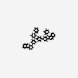 c1ccc(-c2cccc(N(c3ccc(-c4ccc5c6ccc7ccccc7c6n(-c6ccccc6)c5c4)cc3)c3ccc(-c4cccc5c4oc4ccccc45)cc3)c2)cc1